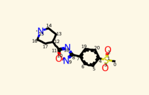 CS(=O)(=O)c1ccc(-c2noc(C3CC[N]CC3)n2)cc1